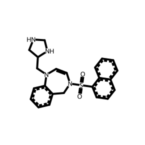 O=S(=O)(c1cccc2ccccc12)N1C=CN(CC2CNCN2)c2ccccc2C1